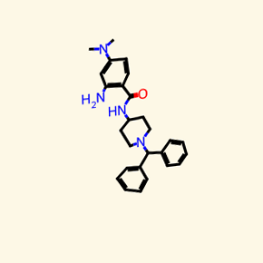 CN(C)c1ccc(C(=O)NC2CCN(C(c3ccccc3)c3ccccc3)CC2)c(N)c1